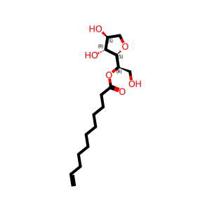 C=CCCCCCCCCC(=O)O[C@H](CO)[C@H]1OC[C@H](O)[C@H]1O